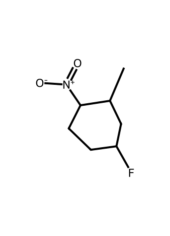 CC1CC(F)CCC1[N+](=O)[O-]